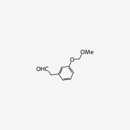 COCOc1cccc(CC=O)c1